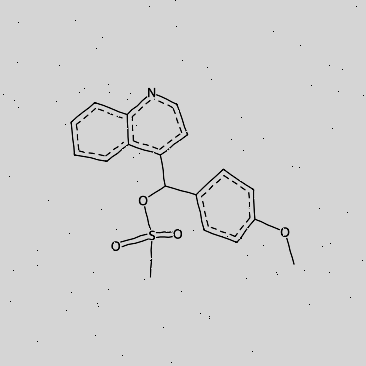 COc1ccc(C(OS(C)(=O)=O)c2ccnc3ccccc23)cc1